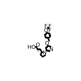 O=C(O)/C=C/C1CCCN1c1cncc(OCc2ccc(OC(F)(F)F)cc2)c1